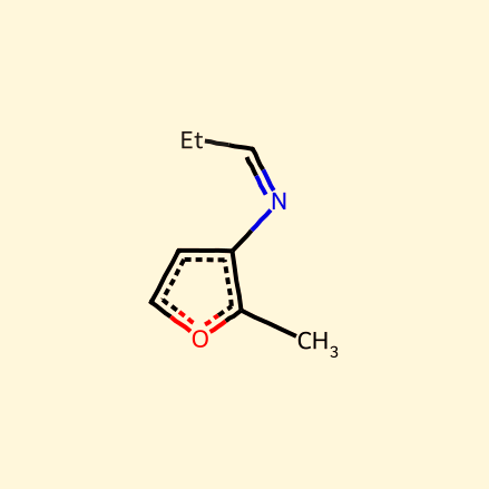 CC/C=N\c1ccoc1C